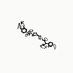 COc1ccc(C(CO)C(=O)N2CC(=C3CN(S(=O)(=O)c4ccc5ncsc5c4)C3)C2)cc1